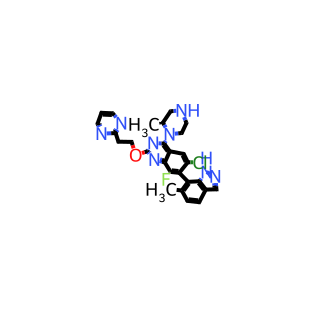 Cc1ccc2cn[nH]c2c1-c1c(Cl)cc2c(N3CCNC[C@@H]3C)nc(OCCc3ncccn3)nc2c1F